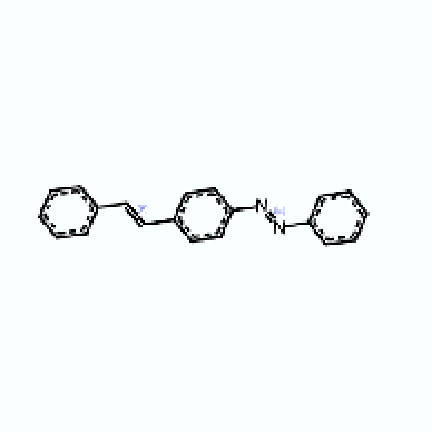 C(=C\c1ccc(/N=N/c2ccccc2)cc1)/c1ccccc1